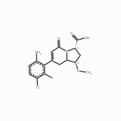 CO[C@@H]1C[C@@H](C(=O)O)N2C(=O)C=C(c3c(N)ccc(Cl)c3F)CC12